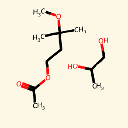 CC(O)CO.COC(C)(C)CCOC(C)=O